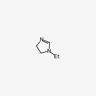 CCN1[C]=NC[CH]1